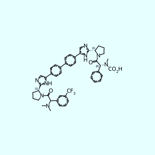 CN(C)C(C(=O)N1CCC[C@H]1c1ncc(-c2ccc(-c3ccc(-c4cnc([C@@H]5CCCN5C(=O)[C@@H](c5ccccc5)N(C)C(=O)O)[nH]4)cc3)cc2)[nH]1)c1cccc(C(F)(F)F)c1